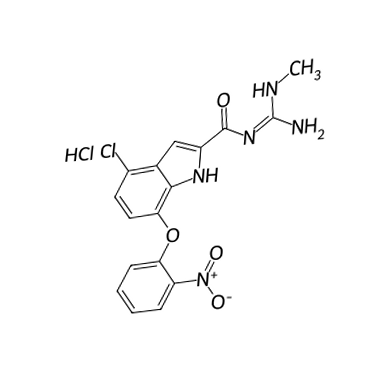 CNC(N)=NC(=O)c1cc2c(Cl)ccc(Oc3ccccc3[N+](=O)[O-])c2[nH]1.Cl